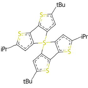 CC(C)c1cc2c(s1)-c1sc(C(C)(C)C)cc1S21c2cc(C(C)C)sc2-c2sc(C(C)(C)C)cc21